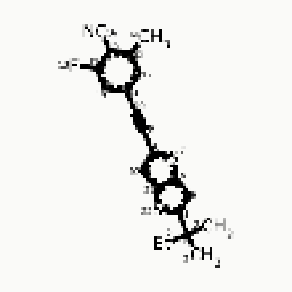 CCC(C)(C)c1cc2sc(C#Cc3cc(C)c(C#N)c(F)c3)cc2s1